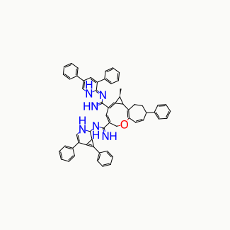 C[C@@H]1/C2=C(C(=N)/N=c3\[nH]cc(-c4ccccc4)cc3-c3ccccc3)/C=C(/C(=N)NC3NC=C(c4ccccc4)C4=C(c5ccccc5)C43)COC3=C(CCC(c4ccccc4)C=C3)C21